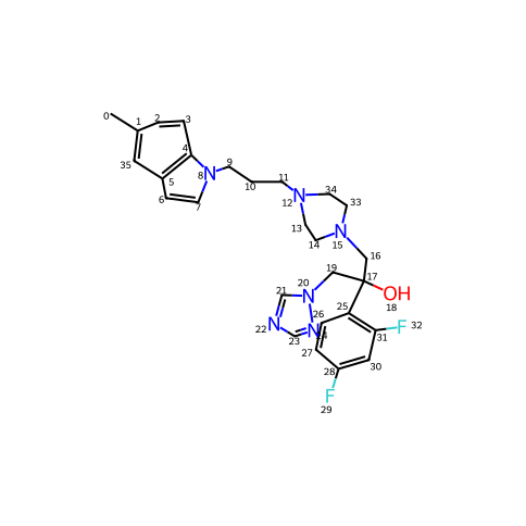 Cc1ccc2c(ccn2CCCN2CCN(CC(O)(Cn3cncn3)c3ccc(F)cc3F)CC2)c1